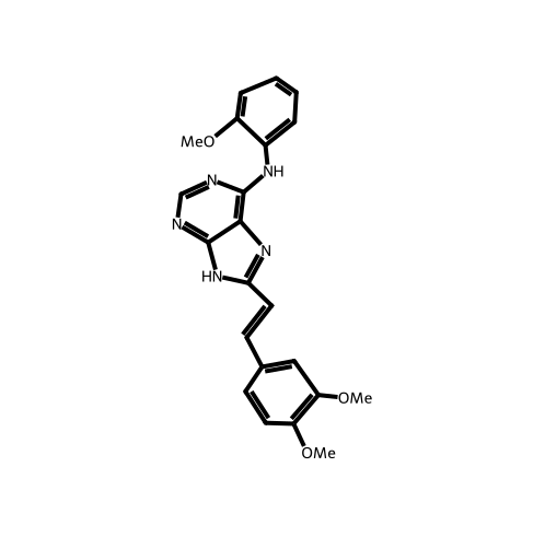 COc1ccccc1Nc1ncnc2[nH]c(C=Cc3ccc(OC)c(OC)c3)nc12